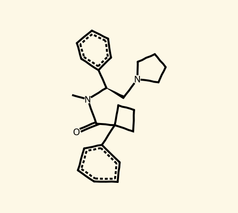 CN(C(=O)C1(c2ccccc2)CCC1)[C@H](CN1CCCC1)c1ccccc1